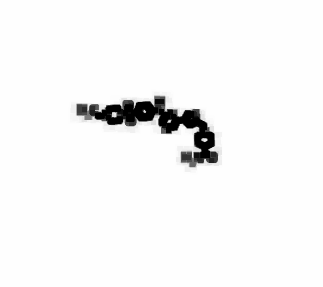 CCN1CCN(S(=O)(=O)c2ccc(Nc3cncc(-c4csc(CN5CCC(C(N)=O)CC5)c4)n3)cc2)CC1